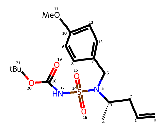 C=CC[C@H](C)N(Cc1ccc(OC)cc1)S(=O)(=O)NC(=O)OC(C)(C)C